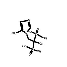 CCCCc1cncn1CC(O)(P(=O)(O)O)P(=O)(O)O